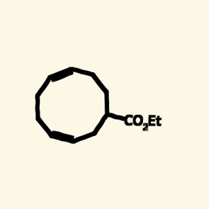 CCOC(=O)C1C/C=C\CC/C=C\CC1